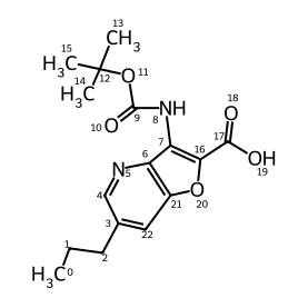 CCCc1cnc2c(NC(=O)OC(C)(C)C)c(C(=O)O)oc2c1